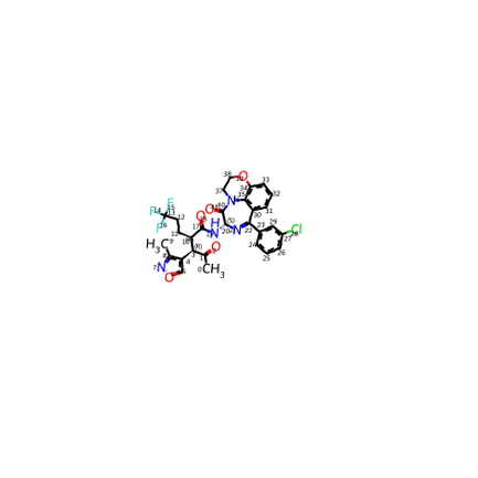 CC(=O)[C@@H](c1conc1C)[C@@H](CCC(F)(F)F)C(=O)N[C@H]1N=C(c2cccc(Cl)c2)c2cccc3c2N(CCO3)C1=O